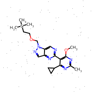 COc1nc(C)nc(C2CC2)c1-c1ncc2c(cnn2COCC[Si](C)(C)C)n1